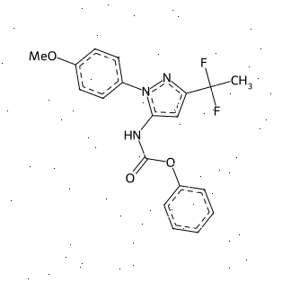 COc1ccc(-n2nc(C(C)(F)F)cc2NC(=O)Oc2ccccc2)cc1